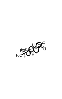 C[C@]12C=CC(=O)C(Cl)=C1CC[C@@H]1[C@H]2CC[C@@]2(C)[C@H]1CCC2(O)C(F)(F)C(F)(F)F